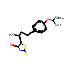 COC(Oc1ccc(CCC(C)=C2SC(=S)NC2=O)cc1)C(=O)O